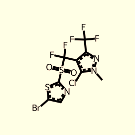 Cn1nc(C(F)(F)F)c(C(F)(F)S(=O)(=O)c2ncc(Br)s2)c1Cl